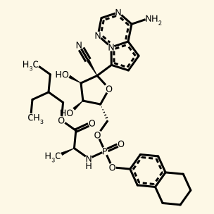 CCC(CC)COC(=O)[C@H](C)NP(=O)(OC[C@H]1O[C@@](C#N)(c2ccc3c(N)ncnn23)[C@H](O)[C@@H]1O)Oc1ccc2c(c1)CCCC2